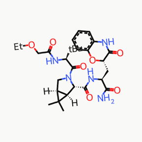 CCOCC(=O)N[C@H](C(=O)N1C[C@H]2[C@@H]([C@H]1C(=O)N[C@@H](C[C@@H]1Oc3ccccc3NC1=O)C(N)=O)C2(C)C)C(C)(C)C